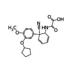 COc1ccc(C2(C#N)C=CC=CC2NC(=O)C(=O)O)cc1OC1CCCC1